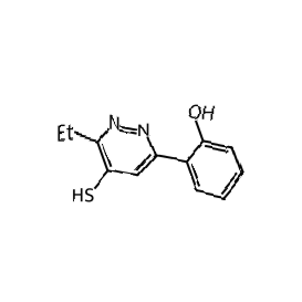 CCc1nnc(-c2ccccc2O)cc1S